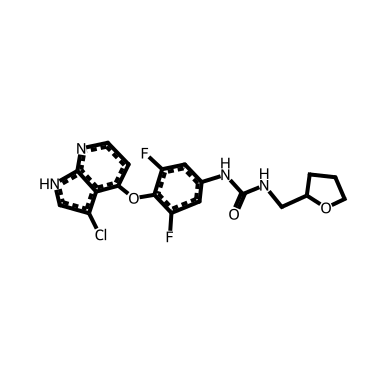 O=C(NCC1CCCO1)Nc1cc(F)c(Oc2ccnc3[nH]cc(Cl)c23)c(F)c1